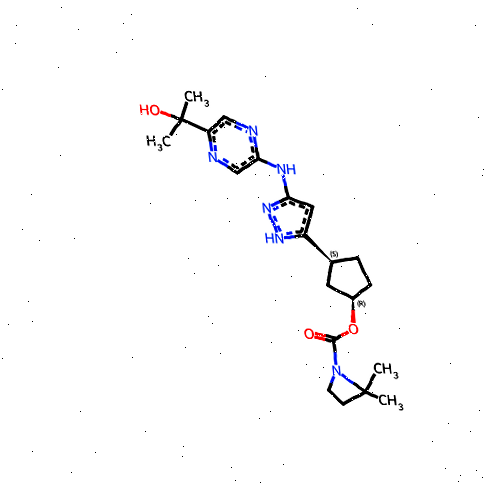 CC(C)(O)c1cnc(Nc2cc([C@H]3CC[C@@H](OC(=O)N4CCC4(C)C)C3)[nH]n2)cn1